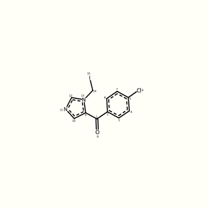 O=C(c1ccc(Cl)cc1)c1cncn1CI